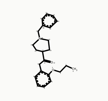 CCCOc1ccccc1CC(=O)C1CCN(Cc2ccccc2)CC1